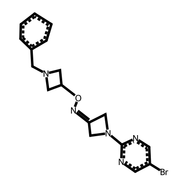 Brc1cnc(N2CC(=NOC3CN(Cc4ccccc4)C3)C2)nc1